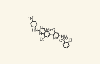 CCc1cc(-c2ncc(NS(=O)(=O)c3ccccc3Cl)cc2OC)cc2cnc(NC3CCC(N(C)C)CC3)nc12